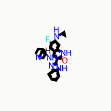 O=c1[nH]c2cc(NC3CC3)c(F)cc2c(N[C@@H]2CN3CCC2CC3)c1-c1nc2ccccc2[nH]1